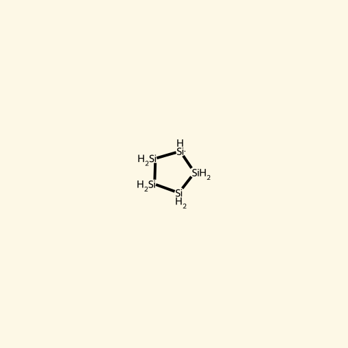 [SiH]1[SiH2][SiH2][SiH2][SiH2]1